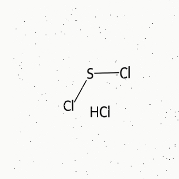 Cl.ClSCl